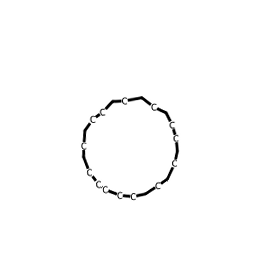 [CH]1CCCCCCCCCCCCCCCCCCCCC1